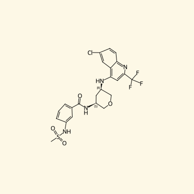 CS(=O)(=O)Nc1cccc(C(=O)N[C@@H]2COC[C@H](Nc3cc(C(F)(F)F)nc4ccc(Cl)cc34)C2)c1